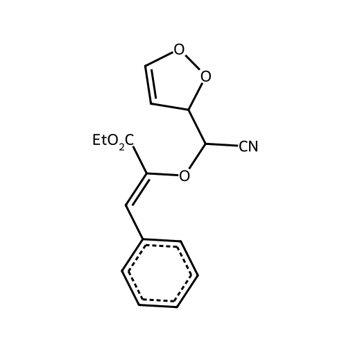 CCOC(=O)C(=Cc1ccccc1)OC(C#N)C1C=COO1